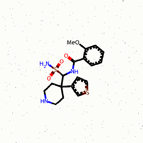 COc1ccccc1C(=O)NC(C1(c2ccsc2)CCNCC1)S(N)(=O)=O